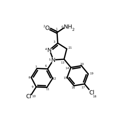 NC(=O)C1=NN(c2ccc(Cl)cc2)C(c2ccc(Cl)cc2)C1